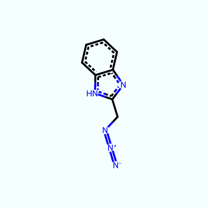 [N-]=[N+]=NCc1nc2ccccc2[nH]1